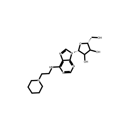 OC[C@H]1O[C@@H](n2cnc3c(NCCN4CCCCC4)ncnc32)C(O)C1O